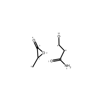 CC1OC1=O.NC(=O)CC[O]